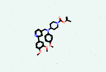 C=C(C)OC(=O)N1CCC(N(Cc2ccnc(-c3ccc(OC)c(OC)c3)c2)c2ccc(OC)cc2)CC1